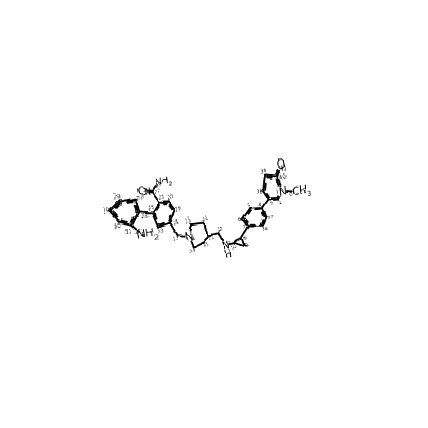 Cn1cc(-c2ccc(C3CC3NCC3CCN(Cc4ccc(C(N)=O)c(-c5ccccc5N)c4)CC3)cc2)ccc1=O